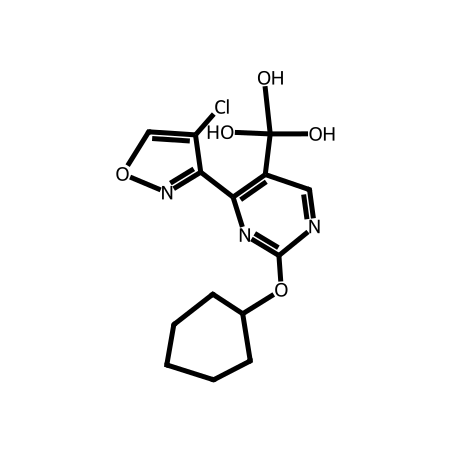 OC(O)(O)c1cnc(OC2CCCCC2)nc1-c1nocc1Cl